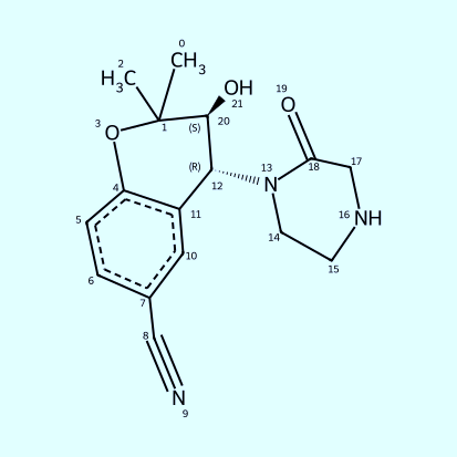 CC1(C)Oc2ccc(C#N)cc2[C@@H](N2CCNCC2=O)[C@@H]1O